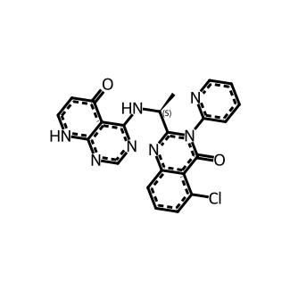 C[C@H](Nc1ncnc2[nH]ccc(=O)c12)c1nc2cccc(Cl)c2c(=O)n1-c1ccccn1